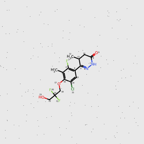 Cc1c(F)c(C2=NNC(=O)CC2C)cc(Cl)c1OCC(F)(F)CO